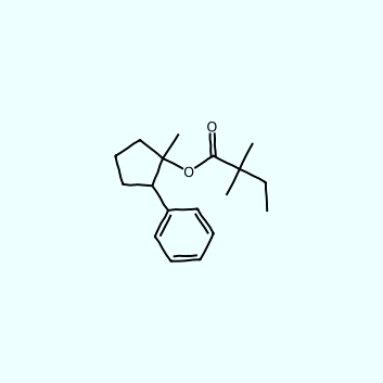 CCC(C)(C)C(=O)OC1(C)CCCC1c1ccccc1